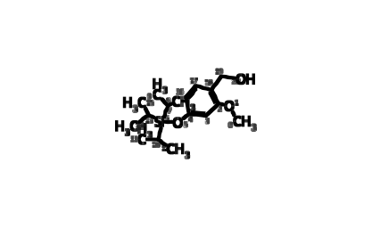 COc1cc(O[Si](C(C)C)(C(C)C)C(C)C)ccc1CO